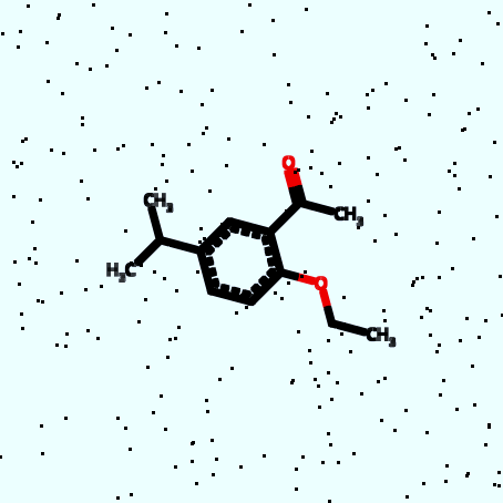 CCOc1ccc(C(C)C)cc1C(C)=O